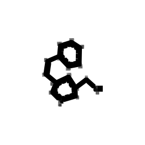 OCc1cncc(/C=C\c2ccccc2)c1